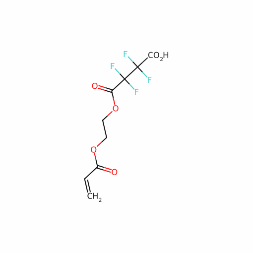 C=CC(=O)OCCOC(=O)C(F)(F)C(F)(F)C(=O)O